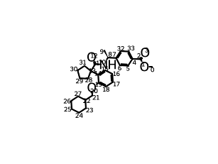 COC(=O)c1ccc([C@H](C)NC(=O)C2(c3ccccc3OCC3CCCCC3)CCCC2)cc1